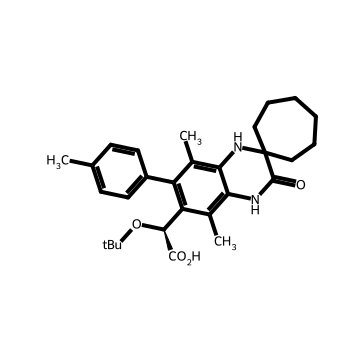 Cc1ccc(-c2c(C)c3c(c(C)c2[C@H](OC(C)(C)C)C(=O)O)NC(=O)C2(CCCCCC2)N3)cc1